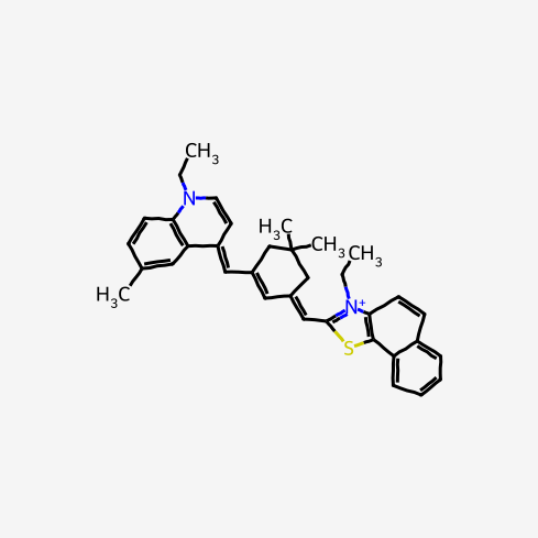 CCN1C=C/C(=C\C2=CC(=C/c3sc4c5ccccc5ccc4[n+]3CC)/CC(C)(C)C2)c2cc(C)ccc21